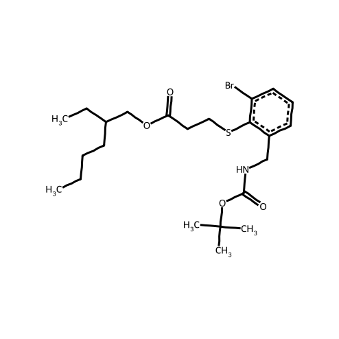 CCCCC(CC)COC(=O)CCSc1c(Br)cccc1CNC(=O)OC(C)(C)C